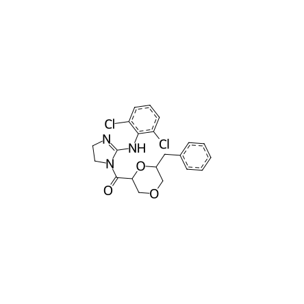 O=C(C1COCC(Cc2ccccc2)O1)N1CCN=C1Nc1c(Cl)cccc1Cl